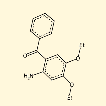 CCOc1cc(N)c(C(=O)c2ccccc2)cc1OCC